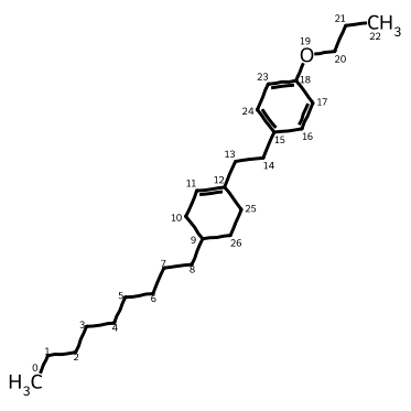 CCCCCCCCCC1CC=C(CCc2ccc(OCCC)cc2)CC1